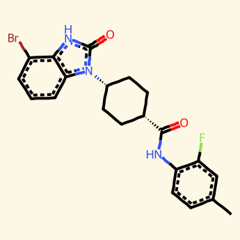 Cc1ccc(NC(=O)[C@H]2CC[C@@H](n3c(=O)[nH]c4c(Br)cccc43)CC2)c(F)c1